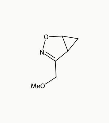 COCC1=NOC2CC12